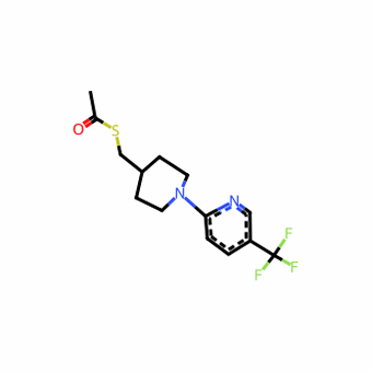 CC(=O)SCC1CCN(c2ccc(C(F)(F)F)cn2)CC1